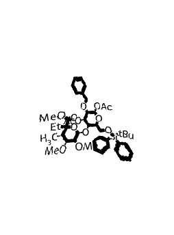 CCC1(C(=O)OC)O[C@@H](O[C@@H]2C(CO[Si](c3ccccc3)(c3ccccc3)C(C)(C)C)O[C@H](OC(C)=O)C(OCc3ccccc3)[C@H]2OC(C)=O)C(OC)[C@@H](OC)[C@@H]1C